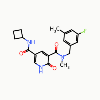 Cc1cc(F)cc(CN(C)C(=O)c2cc(C(=O)NC3CCC3)c[nH]c2=O)c1